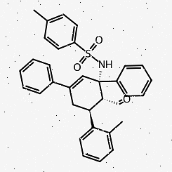 Cc1ccc(S(=O)(=O)N[C@@]2(c3ccccc3)C=C(c3ccccc3)C[C@H](c3ccccc3C)[C@H]2C=O)cc1